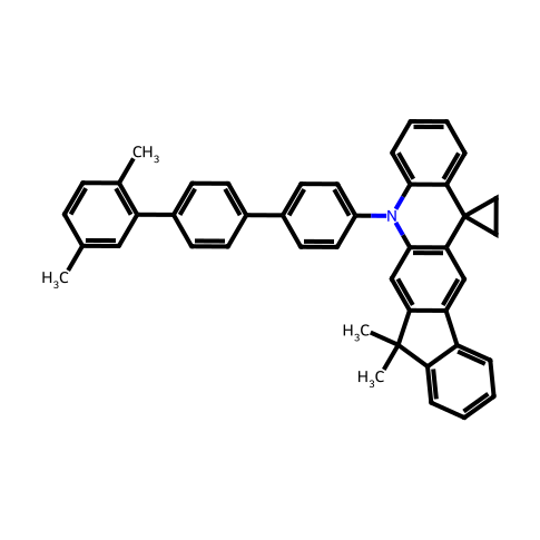 Cc1ccc(C)c(-c2ccc(-c3ccc(N4c5ccccc5C5(CC5)c5cc6c(cc54)C(C)(C)c4ccccc4-6)cc3)cc2)c1